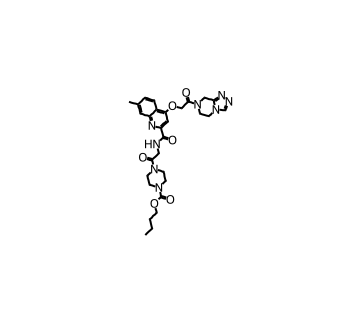 CCCCOC(=O)N1CCN(C(=O)CNC(=O)c2cc(OCC(=O)N3CCn4cnnc4C3)c3ccc(C)cc3n2)CC1